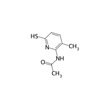 CC(=O)Nc1nc(S)ccc1C